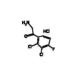 Cl.NCC(=O)c1ccc(F)c(Cl)c1Cl